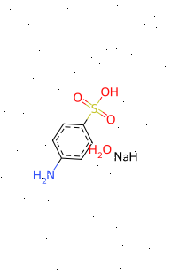 Nc1ccc(S(=O)(=O)O)cc1.O.[NaH]